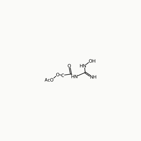 CC(=O)OOCC(=O)NC(=N)NO